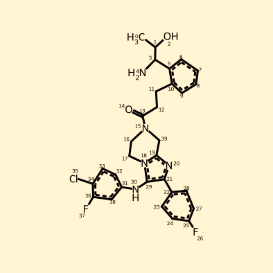 CC(O)C(N)c1ccccc1CCC(=O)N1CCn2c(nc(-c3ccc(F)cc3)c2Nc2ccc(Cl)c(F)c2)C1